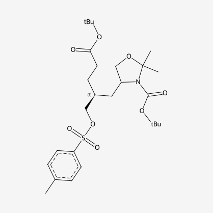 Cc1ccc(S(=O)(=O)OC[C@@H](CCC(=O)OC(C)(C)C)CC2COC(C)(C)N2C(=O)OC(C)(C)C)cc1